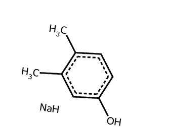 Cc1ccc(O)cc1C.[NaH]